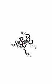 [CH2]=[Hf]([C]1=CC=CC1)([c]1ccc(CCCC)cc1)([c]1ccc(C(C)(C)C)cc1)[CH]1c2cc(C)ccc2-c2ccc(C)cc21